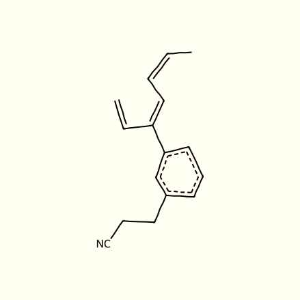 C=C/C(=C\C=C/C)c1cccc(CCC#N)c1